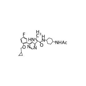 CC(=O)N[C@H]1CC[C@@H](NC(=O)c2c(C)[nH]c3c(-c4cc(F)ccc4OCC4CC4)ncnc23)CC1